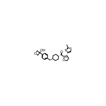 Cc1nc([C@@H]2CCON2C(=O)[C@H]2CC[C@H](Cc3ccc(C4(O)COC4)cc3)CC2)cs1